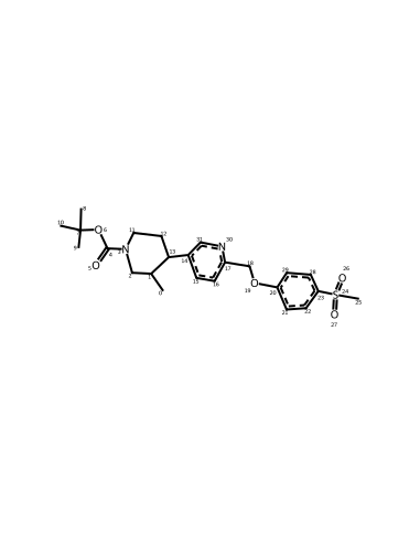 CC1CN(C(=O)OC(C)(C)C)CCC1c1ccc(COc2ccc(S(C)(=O)=O)cc2)nc1